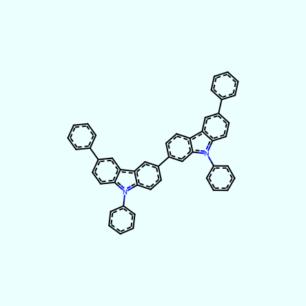 c1ccc(-c2ccc3c(c2)c2cc(-c4ccc5c6cc(-c7ccccc7)ccc6n(-c6ccccc6)c5c4)ccc2n3-c2ccccc2)cc1